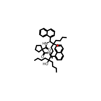 CCCCC(O)(CCCC)[C@@H](NC(=O)C1(C(=O)N[C@@H](c2cccc3ccccc23)C(O)(CCCC)CCCC)CCCC1)c1cccc2ccccc12